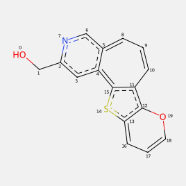 OCc1cc2c(cn1)=CC=Cc1c3c(sc1=2)=CC=CO3